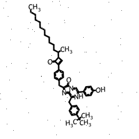 CCCCCCCCCCCCC(C)C1C=C(c2ccc(Cc3nc4c(Cc5ccc(C(C)(C)C)cc5)[nH]c(-c5ccc(O)cc5)cn-4c3=O)cc2)C1=O